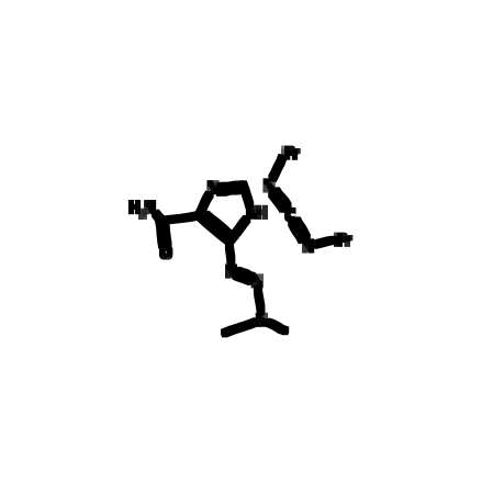 CC(C)N=C=NC(C)C.CN(C)/N=N/c1[nH]cnc1C(N)=O